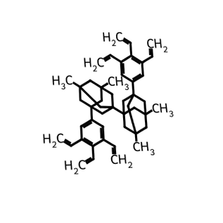 C=Cc1cc(C23CC4(C)CC(C)(C2)CC(C25CC6(C)CC(C)(CC(c7cc(C=C)c(C=C)c(C=C)c7)(C6)C2)C5)(C4)C3)cc(C=C)c1C=C